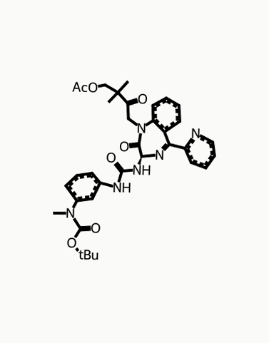 CC(=O)OCC(C)(C)C(=O)CN1C(=O)[C@H](NC(=O)Nc2cccc(N(C)C(=O)OC(C)(C)C)c2)N=C(c2ccccn2)c2ccccc21